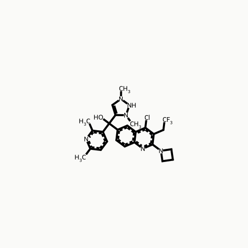 Cc1ccc(C(O)(C2=CN(C)NN2C)c2ccc3nc(N4CCC4)c(CC(F)(F)F)c(Cl)c3c2)c(C)n1